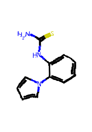 NC(=S)Nc1ccccc1-n1cccc1